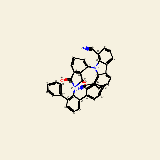 N#Cc1cccc2c3cccc(C#N)c3n(-c3cccc4c3C(=O)N(c3c(-c5ccccc5)cccc3-c3ccccc3)C4=O)c12